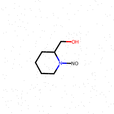 O=NN1CCCCC1CO